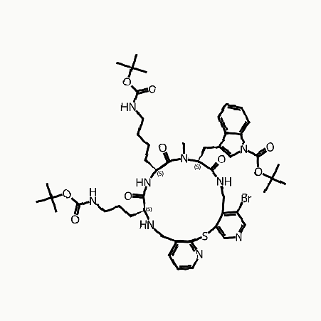 CN1C(=O)[C@H](CCCCNC(=O)OC(C)(C)C)NC(=O)[C@H](CCCNC(=O)OC(C)(C)C)NCc2cccnc2Sc2cncc(Br)c2CNC(=O)[C@@H]1Cc1cn(C(=O)OC(C)(C)C)c2ccccc12